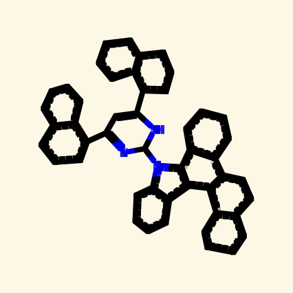 C1=C(c2cccc3ccccc23)NC(n2c3ccccc3c3c4c5ccccc5ccc4c4ccccc4c32)N=C1c1cccc2ccccc12